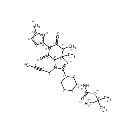 CC#CCN1C(N2CCC[C@@H](NC(=O)OC(C)(C)C)C2)=NC2(C)C1C(=O)N(c1ccc(C)o1)C(=O)N2C